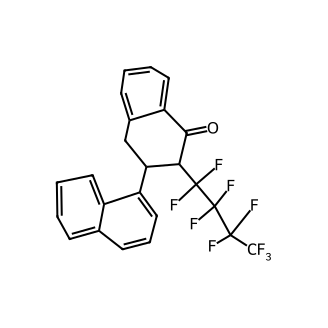 O=C1c2ccccc2CC(c2cccc3ccccc23)C1C(F)(F)C(F)(F)C(F)(F)C(F)(F)F